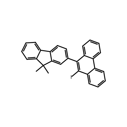 CC1(C)c2ccccc2-c2ccc(-c3c(I)c4ccccc4c4ccccc34)cc21